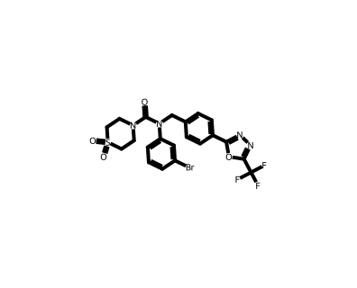 O=C(N1CCS(=O)(=O)CC1)N(Cc1ccc(-c2nnc(C(F)(F)F)o2)cc1)c1cccc(Br)c1